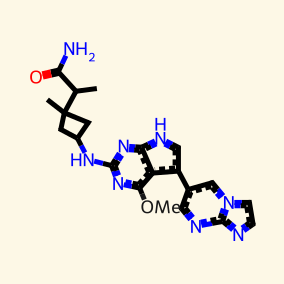 COc1nc(NC2CC(C)(C(C)C(N)=O)C2)nc2[nH]cc(-c3cnc4nccn4c3)c12